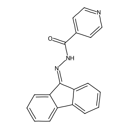 O=C(NN=C1c2ccccc2-c2ccccc21)c1ccncc1